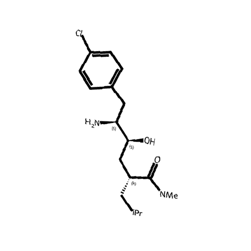 CNC(=O)[C@H](CC(C)C)C[C@H](O)[C@@H](N)Cc1ccc(Cl)cc1